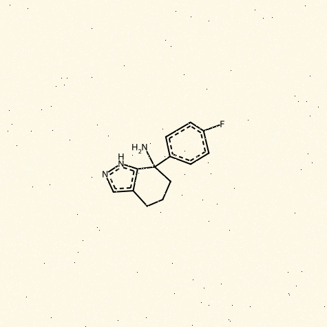 NC1(c2ccc(F)cc2)CCCc2cn[nH]c21